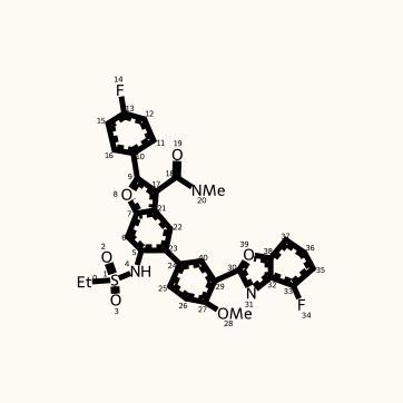 CCS(=O)(=O)Nc1cc2oc(-c3ccc(F)cc3)c(C(=O)NC)c2cc1-c1ccc(OC)c(-c2nc3c(F)cccc3o2)c1